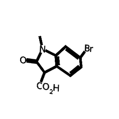 CN1C(=O)C(C(=O)O)c2ccc(Br)cc21